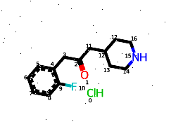 Cl.O=C(Cc1ccccc1F)CC1CCNCC1